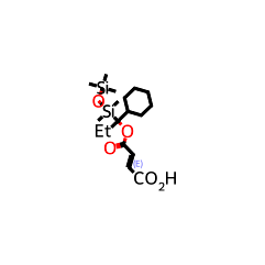 CCC(OC(=O)/C=C/C(=O)O)(C1CCCCC1)[Si](C)(C)O[Si](C)(C)C